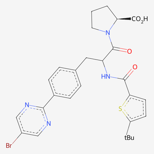 CC(C)(C)c1ccc(C(=O)NC(Cc2ccc(-c3ncc(Br)cn3)cc2)C(=O)N2CCC[C@H]2C(=O)O)s1